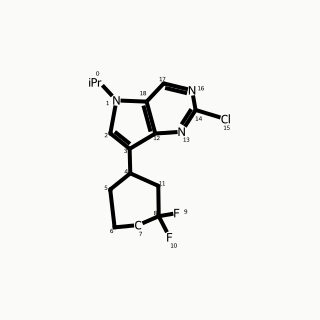 CC(C)n1cc(C2CCCC(F)(F)C2)c2nc(Cl)ncc21